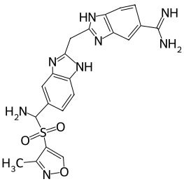 Cc1nocc1S(=O)(=O)C(N)c1ccc2[nH]c(Cc3nc4cc(C(=N)N)ccc4[nH]3)nc2c1